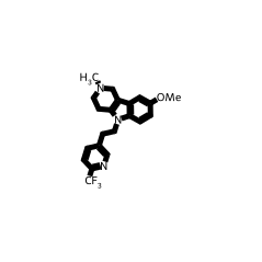 COc1ccc2c(c1)c1c(n2CCc2ccc(C(F)(F)F)nc2)CCN(C)C1